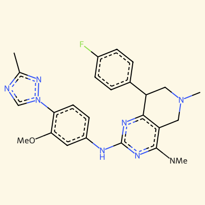 CNc1nc(Nc2ccc(-n3cnc(C)n3)c(OC)c2)nc2c1CN(C)CC2c1ccc(F)cc1